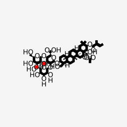 C/C=C(\C)C(=O)O[C@H]1[C@H](O)[C@]2(COC(C)=O)[C@H](O)C[C@]3(C)C(=CC[C@@H]4[C@@]5(C)CC[C@H](O[C@@H]6O[C@H](C(=O)O)[C@@H](O[C@@H]7O[C@H](CO)[C@@H](O)[C@H](O)[C@H]7O)[C@H](O)[C@H]6O[C@@H]6O[C@H](CO)[C@@H](O)[C@H](O)[C@H]6O)[C@](C)(CO)[C@@H]5CC[C@]43C)[C@@H]2CC1(C)C